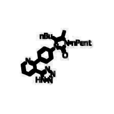 CCCCCn1c(C)c(CCCC)n(-c2ccc(-c3ncccc3-c3nnn[nH]3)cc2)c1=O